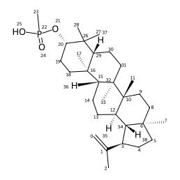 C=C(C)[C@@H]1CC[C@]2(C)CC[C@]3(C)[C@H](CC[C@@H]4[C@@]5(C)CC[C@H](OP(C)(=O)O)C(C)(C)[C@@H]5CC[C@]43C)[C@@H]12